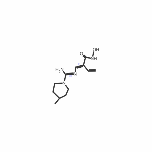 C=C/C(=C\N=C(/N)N1CCC(C)CC1)C(=O)NO